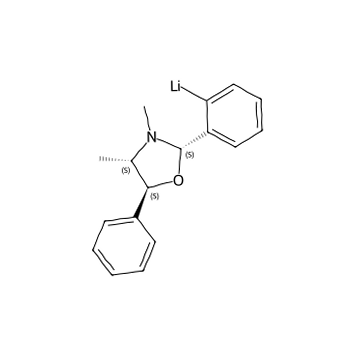 [Li][c]1ccccc1[C@@H]1O[C@@H](c2ccccc2)[C@H](C)N1C